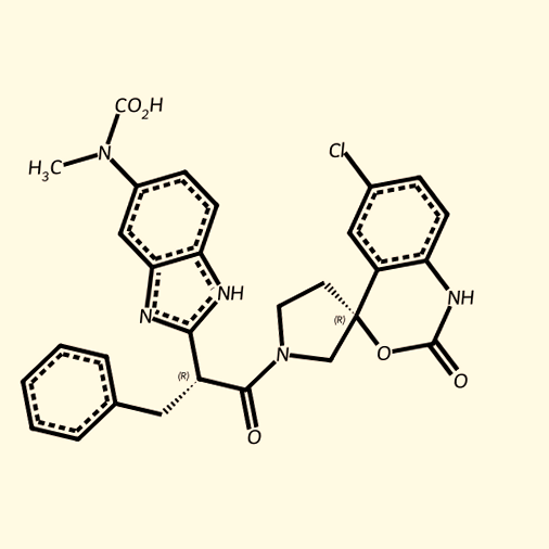 CN(C(=O)O)c1ccc2[nH]c([C@@H](Cc3ccccc3)C(=O)N3CC[C@@]4(C3)OC(=O)Nc3ccc(Cl)cc34)nc2c1